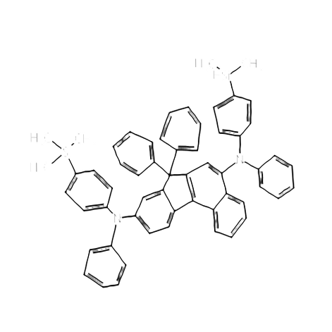 C[SiH](C)c1ccc(N(c2ccccc2)c2cc3c(c4ccccc24)-c2ccc(N(c4ccccc4)c4ccc([Si](C)(C)C)cc4)cc2C3(c2ccccc2)c2ccccc2)cc1